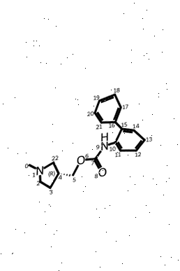 CN1CC[C@@H](COC(=O)Nc2ccccc2-c2ccccc2)C1